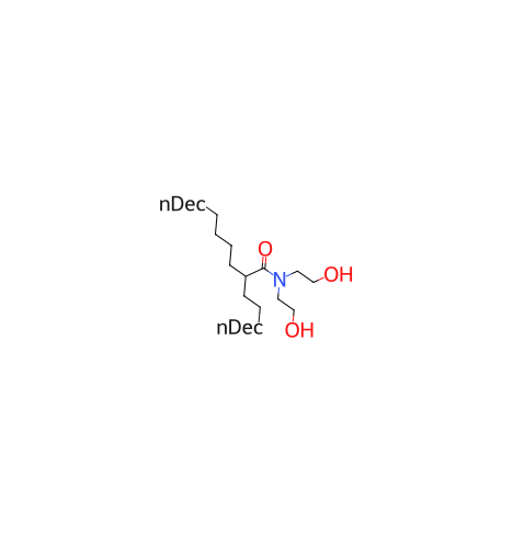 CCCCCCCCCCCCCCC(CCCCCCCCCCCC)C(=O)N(CCO)CCO